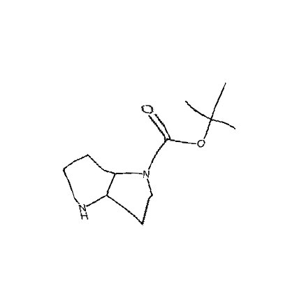 CC(C)(C)OC(=O)N1CCC2NCCC21